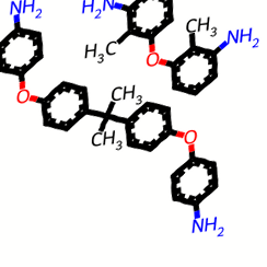 CC(C)(c1ccc(Oc2ccc(N)cc2)cc1)c1ccc(Oc2ccc(N)cc2)cc1.Cc1c(N)cccc1Oc1cccc(N)c1C